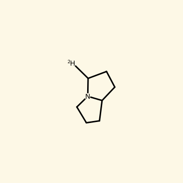 [2H]C1CCC2CCCN12